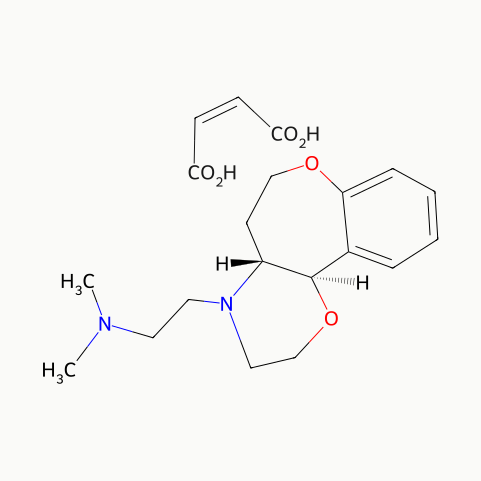 CN(C)CCN1CCO[C@@H]2c3ccccc3OCC[C@H]21.O=C(O)/C=C\C(=O)O